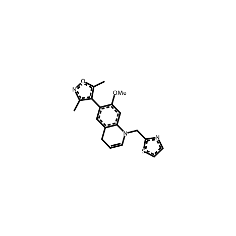 COc1cc2c(cc1-c1c(C)noc1C)CC=CN2Cc1nccs1